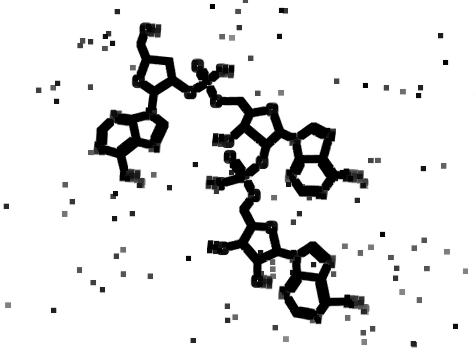 Nc1ncnc2c1ncn2C1OC(CO)CC1OP(=O)(S)OCC1OC(n2cnc3c(N)ncnc32)C(OP(=O)(S)OCC2OC(n3cnc4c(N)ncnc43)C(O)C2O)C1O